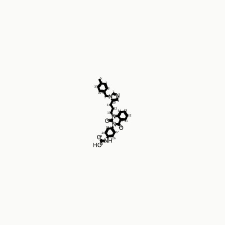 Cc1ccc(Cn2cncc2CCCn2c(=O)n(-c3ccc(NC(=O)O)cc3)c(=O)c3ccccc32)cc1